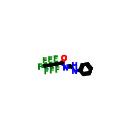 O=C(N=CNc1ccccc1)C(F)(F)C(F)(F)C(F)(F)F